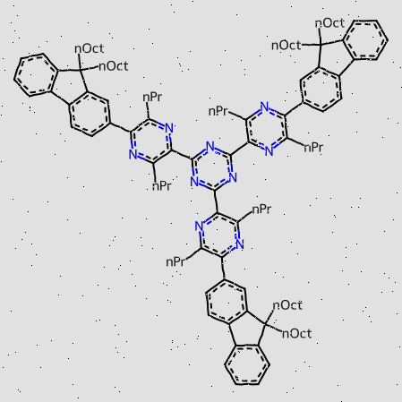 CCCCCCCCC1(CCCCCCCC)c2ccccc2-c2ccc(-c3nc(CCC)c(-c4nc(-c5nc(CCC)c(-c6ccc7c(c6)C(CCCCCCCC)(CCCCCCCC)c6ccccc6-7)nc5CCC)nc(-c5nc(CCC)c(-c6ccc7c(c6)C(CCCCCCCC)(CCCCCCCC)c6ccccc6-7)nc5CCC)n4)nc3CCC)cc21